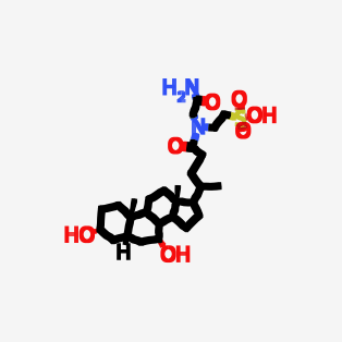 CC(CCC(=O)N(CCS(=O)(=O)O)CC(N)=O)C1CCC2C3C(CC[C@]12C)[C@@]1(C)CC[C@@H](O)C[C@H]1C[C@@H]3O